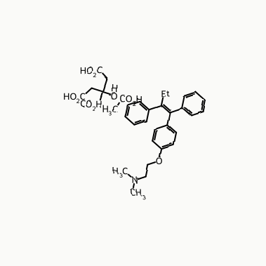 CC(=O)O.CC/C(=C(\c1ccccc1)c1ccc(OCCN(C)C)cc1)c1ccccc1.O=C(O)CC(O)(CC(=O)O)C(=O)O